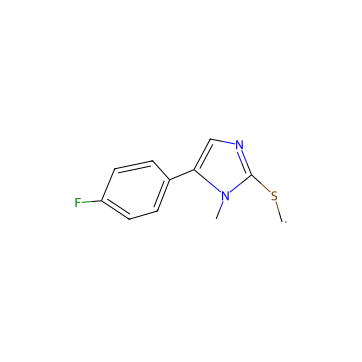 [CH2]Sc1ncc(-c2ccc(F)cc2)n1C